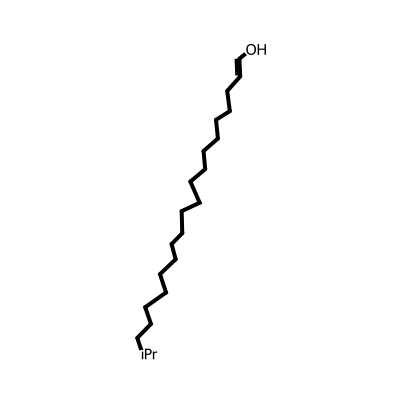 CC(C)CCCCCCCCCCCCCCCCCC=CO